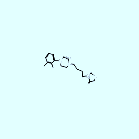 Cc1cccc(N2CCN(CCCCN3CSCC3=O)CC2)c1C.Cl